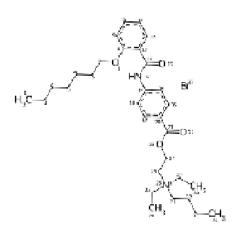 CCCCCCCOc1ccccc1C(=O)Nc1ccc(C(=O)OCC[N+](CC)(CC)CCCC)cc1.[Br-]